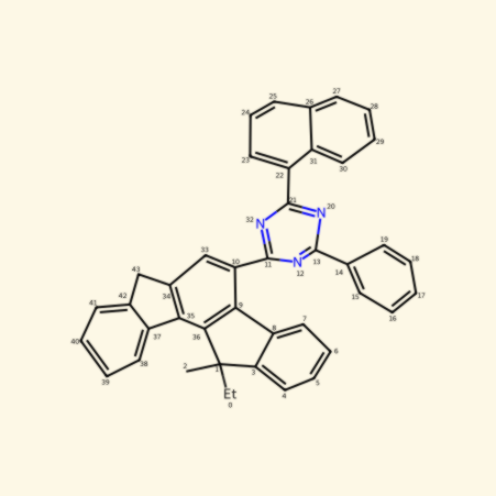 CCC1(C)c2ccccc2-c2c(-c3nc(-c4ccccc4)nc(-c4cccc5ccccc45)n3)cc3c(c21)-c1ccccc1C3